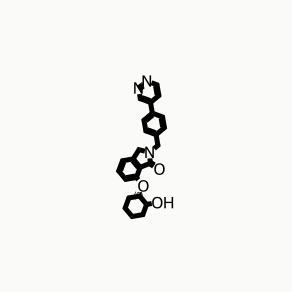 O=C1c2c(cccc2O[C@H]2CCCCC2O)CN1Cc1ccc(-c2ccnnc2)cc1